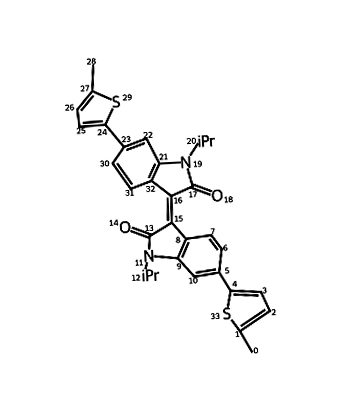 Cc1ccc(-c2ccc3c(c2)N(C(C)C)C(=O)/C3=C2/C(=O)N(C(C)C)c3cc(-c4ccc(C)s4)ccc32)s1